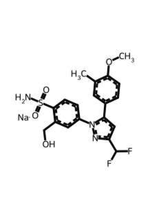 COc1ccc(-c2cc(C(F)F)nn2-c2ccc(S(N)(=O)=O)c(CO)c2)cc1C.[Na]